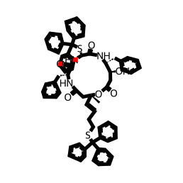 C[C@@]1(C=CCCSC(c2ccccc2)(c2ccccc2)c2ccccc2)CC(=O)N[C@H](Cc2ccccc2)C(=O)N[C@@H](SC(c2ccccc2)(c2ccccc2)c2ccccc2)C(=O)N[C@H](Cc2ccccc2)[C@@H](O)CC(=O)O1